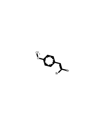 FC(F)(F)Oc1ccc(C=C(Br)Br)cc1